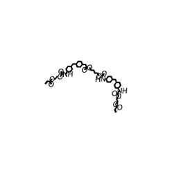 C=CC(=O)OCCOC(=O)NC1CCC(CC2CCC(CC(=O)OCCCCOC(=O)NC3CCC(CC4CCC(NC(=O)OCCOC(=O)C=C)CC4)CC3)CC2)CC1